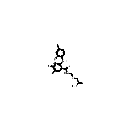 CC(O)COCNC(=O)c1cc(Cl)c(=O)[nH]c1Nc1ccc(I)cc1F